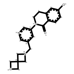 O=C1c2ccc(Cl)cc2CCN1c1cncc(CN2CC3(COC3)C2)c1